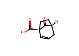 O=C(O)[C@@]12C=CC[C@@H](CC1)C2=O